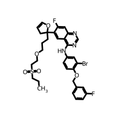 CCCS(=O)(=O)CCOCCCC1(c2cc3c(Nc4ccc(OCc5cccc(F)c5)c(Br)c4)ncnc3cc2F)CC=CO1